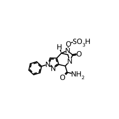 NC(=O)C1c2nn(-c3ccccc3)cc2[C@H]2CN1C(=O)N2OS(=O)(=O)O